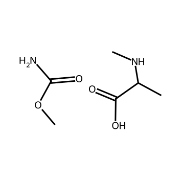 CNC(C)C(=O)O.COC(N)=O